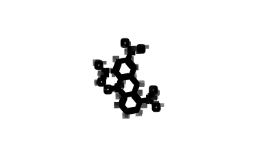 O=[N+]([O-])c1cc2c(c([N+](=O)[O-])c1)[S+]([O-])c1cccc([N+](=O)[O-])c1C2